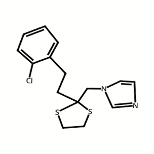 Clc1ccccc1CCC1(Cn2ccnc2)SCCS1